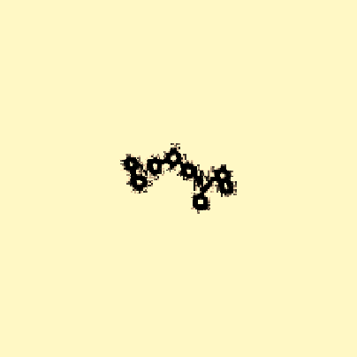 c1ccc(-c2cc(-c3cccc4ccccc34)nc(-c3ccc(-c4cccc(-c5ccc(-n6c7ccccc7c7ccccc76)cc5)c4)cc3)n2)cc1